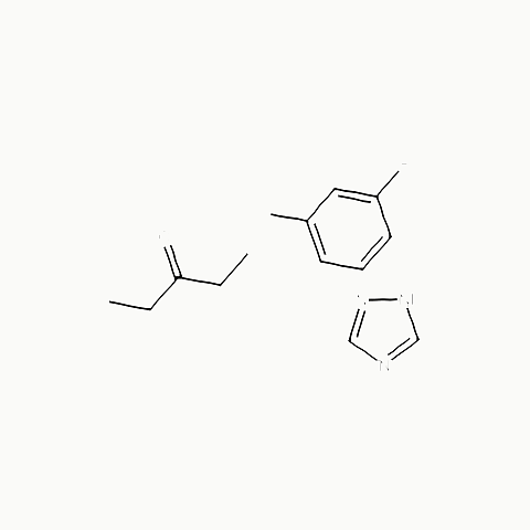 CCC(=O)CC.Fc1cccc(F)c1.c1nc[nH]n1